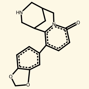 O=c1ccc(-c2ccc3c(c2)OCO3)c2n1CC1CNCC2C1